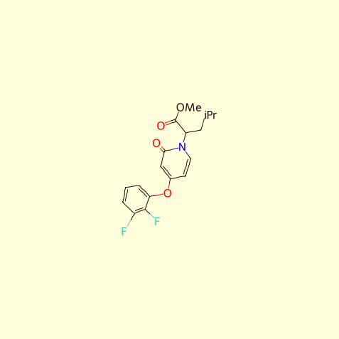 COC(=O)C(CC(C)C)n1ccc(Oc2cccc(F)c2F)cc1=O